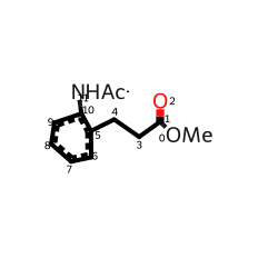 COC(=O)CCc1ccccc1[N]C(C)=O